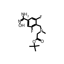 CN(CC(=O)OC(C)(C)C)Cc1c(F)cc(/C(N)=N\O)cc1F